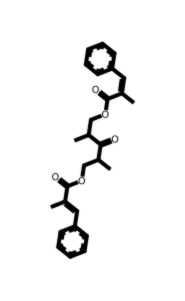 CC(=Cc1ccccc1)C(=O)OCC(C)C(=O)C(C)COC(=O)C(C)=Cc1ccccc1